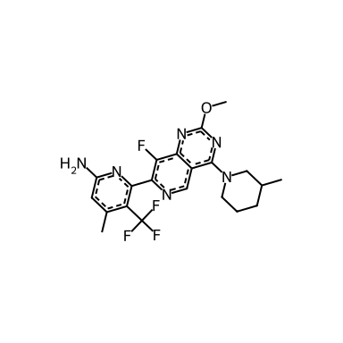 COc1nc(N2CCCC(C)C2)c2cnc(-c3nc(N)cc(C)c3C(F)(F)F)c(F)c2n1